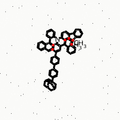 CC1(C)c2ccccc2-c2ccc(N(c3ccccc3-c3cccc4ccccc34)c3ccc(-c4ccc(-c5ccc(C67CC8CC(CC(C8)C6)C7)cc5)cc4)cc3-c3cccc4ccccc34)cc21